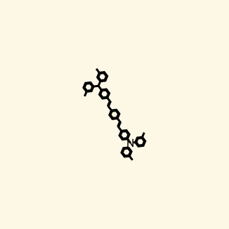 Cc1cccc(C(c2ccc(C=Cc3ccc(C=Cc4ccc(N(c5cccc(C)c5)c5cccc(C)c5)cc4)cc3)cc2)c2cccc(C)c2)c1